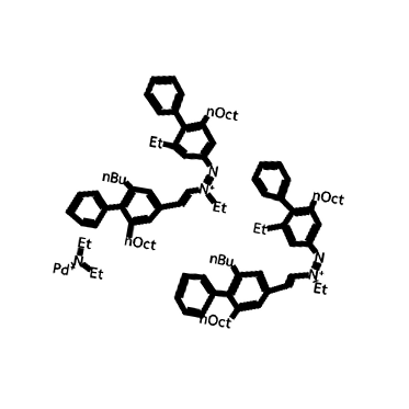 CCCCCCCCc1cc(N=[N+](C=Cc2cc(CCCC)c(-c3ccccc3)c(CCCCCCCC)c2)CC)cc(CC)c1-c1ccccc1.CCCCCCCCc1cc(N=[N+](C=Cc2cc(CCCC)c(-c3ccccc3)c(CCCCCCCC)c2)CC)cc(CC)c1-c1ccccc1.CC[N]([Pd+])CC